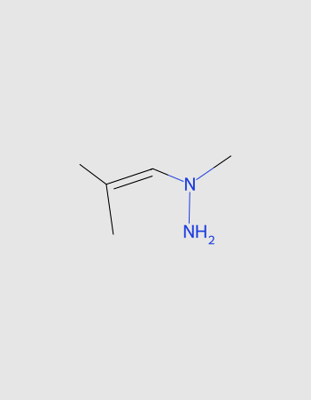 CC(C)=CN(C)N